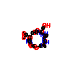 COc1ccc(CC[C@H]2OC(=O)[C@@H]3CN(C)CCN3C(=O)C(=O)C(C)(C)COC(=O)/C=C/CCN(C)C(=O)[C@@H](Cc3ccccc3)NC(=O)CN(C)C(=O)[C@@H](Cc3ccccc3)NC(=O)[C@H](CCc3ccc(O)cc3)N(C)C(=O)COc3cccc2c3)cc1OC